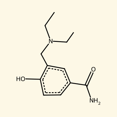 CCN(CC)Cc1cc(C(N)=O)ccc1O